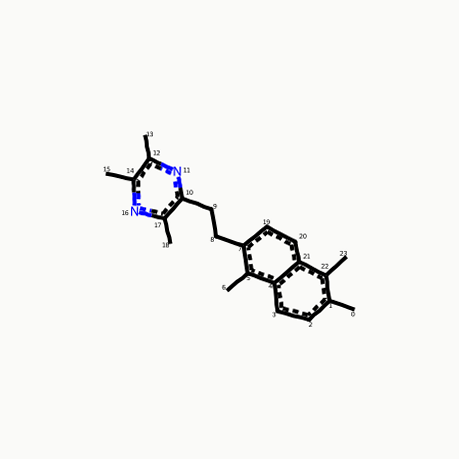 Cc1ccc2c(C)c(CCc3nc(C)c(C)nc3C)ccc2c1C